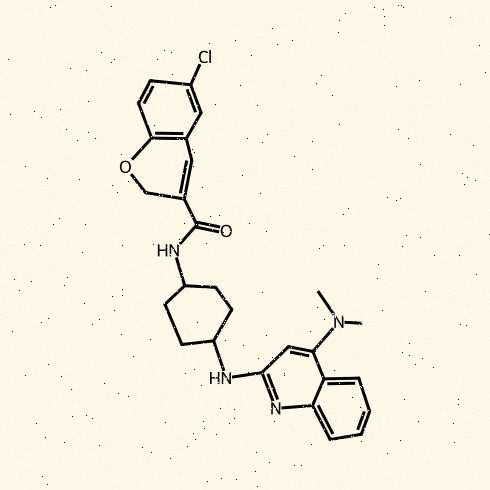 CN(C)c1cc(NC2CCC(NC(=O)C3=Cc4cc(Cl)ccc4OC3)CC2)nc2ccccc12